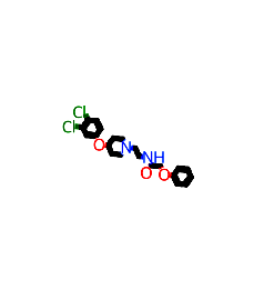 O=C(COc1ccccc1)NCCN1CCC(Oc2ccc(Cl)c(Cl)c2)CC1